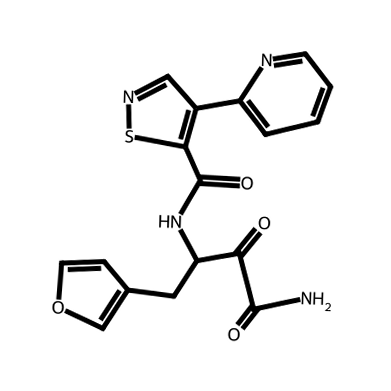 NC(=O)C(=O)C(Cc1ccoc1)NC(=O)c1sncc1-c1ccccn1